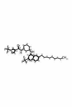 CCCCCCCCCc1ccc2nc(C(F)(F)F)cc(N[C@H]3CCCN(NC(=O)c4cnn(C(F)(F)F)c4)C3)c2c1